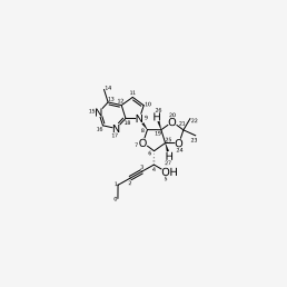 CCC#CC(O)[C@@H]1O[C@@H](n2ccc3c(C)ncnc32)[C@@H]2OC(C)(C)O[C@@H]21